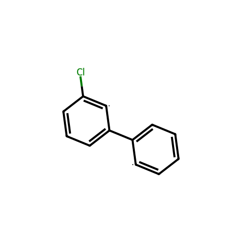 Clc1[c]c(-c2[c]cccc2)ccc1